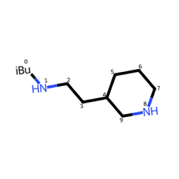 CCC(C)NCCC1CCCNC1